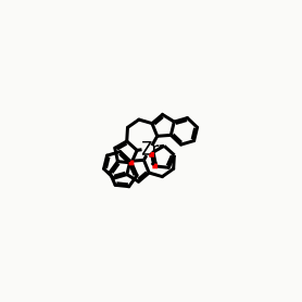 C1=C2CCC3=Cc4ccccc4[CH]3[Zr]3([CH]2c2ccccc21)[CH]1C(=Cc2ccccc21)CCC1=Cc2ccccc2[CH]13